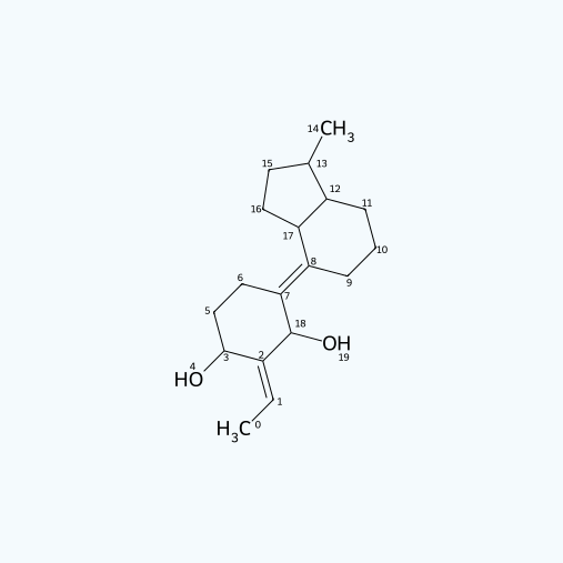 CC=C1C(O)CCC(=C2CCCC3C(C)CCC23)C1O